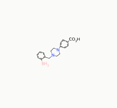 Bc1ccccc1CN1CCN(c2ccc(C(=O)O)cc2)CC1